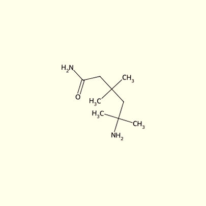 CC(C)(N)CC(C)(C)CC(N)=O